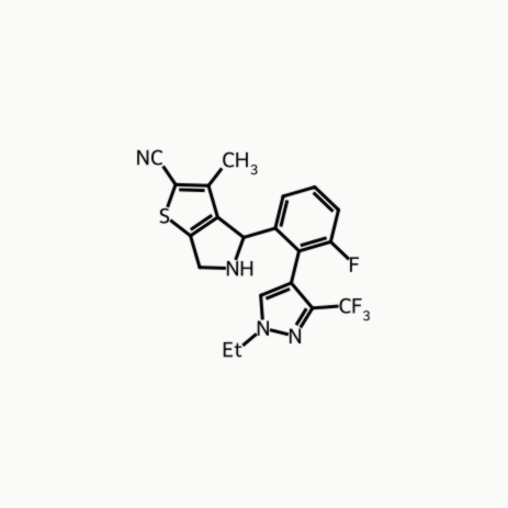 CCn1cc(-c2c(F)cccc2C2NCc3sc(C#N)c(C)c32)c(C(F)(F)F)n1